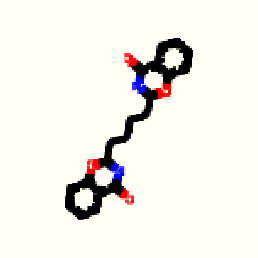 O=c1nc(CCCCc2nc(=O)c3ccccc3o2)oc2ccccc12